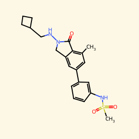 Cc1cc(-c2cccc(NS(C)(=O)=O)c2)cc2c1C(=O)N(NCC1CCC1)C2